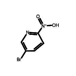 O=[N+](O)c1ccc(Br)cn1